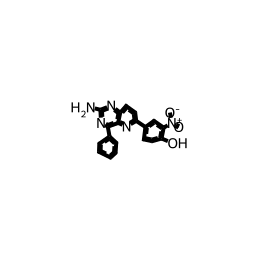 Nc1nc(-c2ccccc2)c2nc(-c3ccc(O)c([N+](=O)[O-])c3)ccc2n1